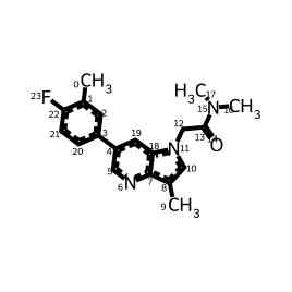 Cc1cc(-c2cnc3c(C)cn(CC(=O)N(C)C)c3c2)ccc1F